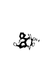 O=C1C(O)NC(c2ccccc2F)c2cc(Cl)ccc2N1I